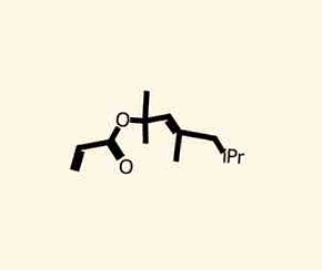 C=CC(=O)OC(C)(C)/C=C(\C)CC(C)C